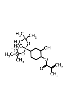 C=C(C)C(=O)OC1CCC([Si](C)(O[Si](C)(C)C)O[Si](C)(C)C)CC1O